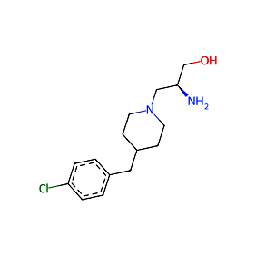 N[C@H](CO)CN1CCC(Cc2ccc(Cl)cc2)CC1